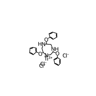 [Cl-].[Cl-].[Cl-].[Ti+3][N]1CC(Oc2ccccc2)NCC(Oc2ccccc2)NCC1Oc1ccccc1